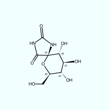 O=C1NC(=O)[C@@]2(N1)O[C@H](CO)[C@@H](O)[C@H](O)[C@H]2O